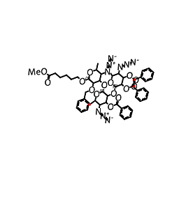 COC(=O)CCCCCO[C@H]1OC(C)C(N=[N+]=[N-])C(O[C@H]2OC(C)C(N=[N+]=[N-])C(OC(=O)c3ccccc3)C2O[C@H]2OC(C)C(N=[N+]=[N-])C(OC(=O)c3ccccc3)C2OC(=O)c2ccccc2)C1OCc1ccccc1